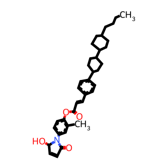 CCCCC1CCC(C2CCC(c3ccc(/C=C/C(=O)Oc4ccc(N5C(=O)C=CC5O)cc4C)cc3)CC2)CC1